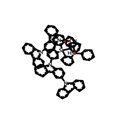 Cc1ccccc1[Si](c1ccccc1)(c1cccc(-n2c3ccccc3c3cc(-n4c5ccccc5c5ccccc54)ccc32)c1)c1ccccc1[SiH](c1ccccc1)c1cccc(-n2c3ccccc3c3cc(-n4c5ccccc5c5ccccc54)ccc32)c1